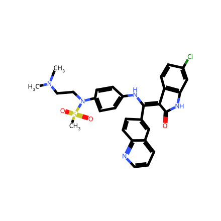 CN(C)CCN(c1ccc(NC(=C2C(=O)Nc3cc(Cl)ccc32)c2ccc3ncccc3c2)cc1)S(C)(=O)=O